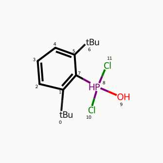 CC(C)(C)c1cccc(C(C)(C)C)c1[PH](O)(Cl)Cl